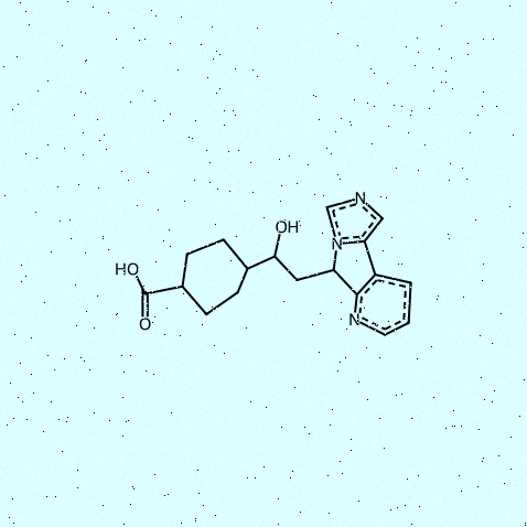 O=C(O)C1CCC(C(O)CC2c3ncccc3-c3cncn32)CC1